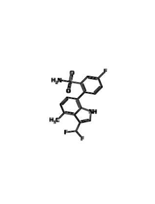 Cc1ccc(-c2ccc(F)cc2S(N)(=O)=O)c2[nH]cc(C(F)F)c12